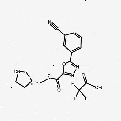 N#Cc1cccc(-c2nnc(C(=O)NC[C@@H]3CCNC3)o2)c1.O=C(O)C(F)(F)F